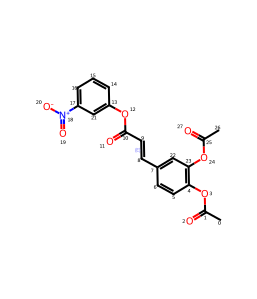 CC(=O)Oc1ccc(/C=C/C(=O)Oc2cccc([N+](=O)[O-])c2)cc1OC(C)=O